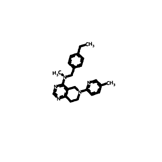 CCc1ccc(CN(C)c2ncnc3c2CN(c2ccc(C)cn2)CC3)cc1